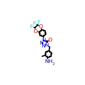 Cc1cc(Cn2nnn(-c3ccc4c(c3)OC(F)C(F)(F)O4)c2=O)ccc1N